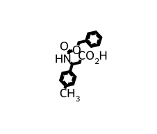 Cc1ccc(C(CC(=O)O)NC(=O)OCc2ccccc2)cc1